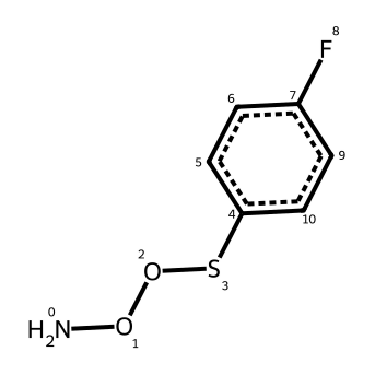 NOOSc1ccc(F)cc1